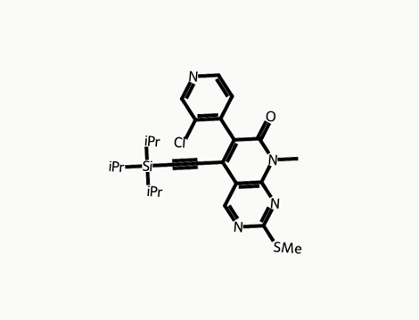 CSc1ncc2c(C#C[Si](C(C)C)(C(C)C)C(C)C)c(-c3ccncc3Cl)c(=O)n(C)c2n1